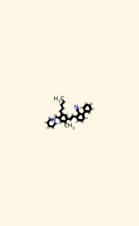 CCCCCc1cc(/C=C/c2cccc(-c3ccccc3)c2C#N)c(C)cc1CN1CCCCC1